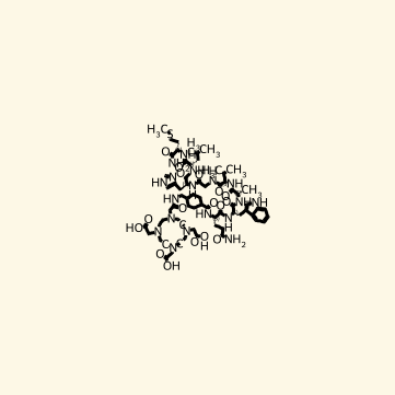 CSCC[C@H](NC(=O)[C@H](CC(C)C)NC(=O)[C@H](Cc1c[nH]cn1)NC(=O)CNC(=O)[C@@H](NC(=O)[C@H](C)NC(=O)[C@H](Cc1c[nH]c2ccccc12)NC(=O)[C@H](CCC(N)=O)NC(=O)C1CCC(CNC(=O)CN2CCN(CC(=O)O)CCN(CC(=O)O)CCN(CC(=O)O)CC2)CC1)C(C)C)C(N)=O